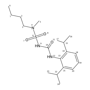 CCCCN(C)S(=O)(=O)NC(=O)Nc1c(C(C)C)cccc1C(C)C